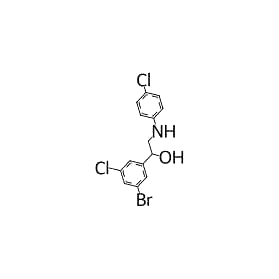 OC(CNc1ccc(Cl)cc1)c1cc(Cl)cc(Br)c1